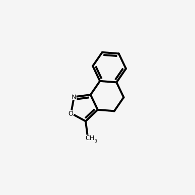 Cc1onc2c1CCc1ccccc1-2